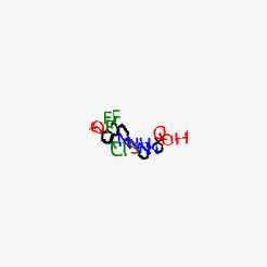 COc1ccc(Cl)c(-c2nc(NSc3cccc(N4CCCC(C)(C(=O)O)C4)n3)ccc2C(F)(F)F)c1